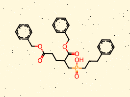 O=C(CCC(CP(=O)(O)CCCc1ccccc1)C(=O)OCc1ccccc1)OCc1ccccc1